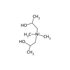 CC(O)C[N+](C)(C)CC(C)O